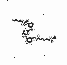 CCCCCC(=O)NS(=O)(=O)c1cccc(Nc2ncc(C)c(Nc3cccc(CNC(=O)CCCCCS(=O)(=O)C4CC4)c3)n2)c1.[NaH]